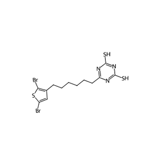 Sc1nc(S)nc(CCCCCCc2cc(Br)sc2Br)n1